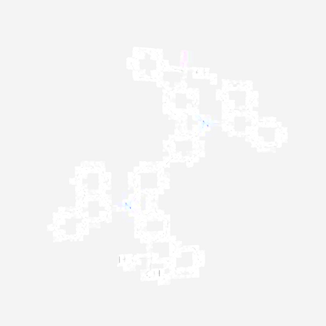 CC1(C)c2ccccc2-c2cc3c4cc(-c5ccc6c(c5)c5cc7c(cc5n6-c5cc6ccccc6c6ccccc56)C(C)(I)c5ccccc5-7)ccc4n(-c4cc5ccccc5c5ccccc45)c3cc21